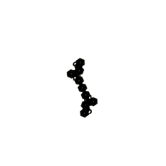 c1ccc2c(c1)sc1c2ccc2c1c1ccccc1n2-c1ccc(-c2ccc(-c3ccc(-n4c5ccccc5c5c6sc7ccccc7c6ccc54)cc3)cc2)cc1